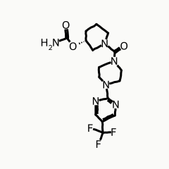 NC(=O)O[C@@H]1CCCN(C(=O)N2CCN(c3ncc(C(F)(F)F)cn3)CC2)C1